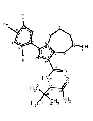 CN1CCCn2c(-c3cc(F)c(F)cc3F)nc(C(=O)N[C@H](C(N)=O)C(C)(C)C)c2C1